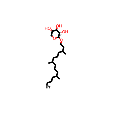 CC(C)CCCC(C)CCCC(C)CCCC(C)CCOC1OCC(O)C(O)[C@@H]1O